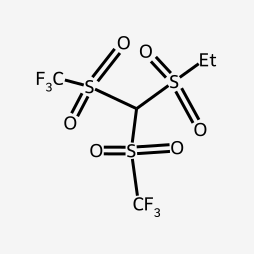 CCS(=O)(=O)C(S(=O)(=O)C(F)(F)F)S(=O)(=O)C(F)(F)F